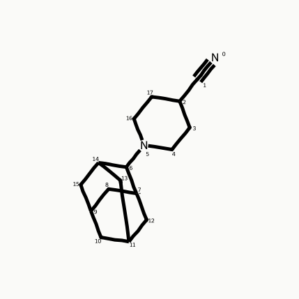 N#CC1CCN(C2[C]3CC4CC(C3)CC2C4)CC1